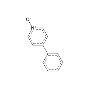 [O-][n+]1ccc(-c2c[c]ccc2)cc1